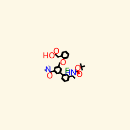 CC(NC(=O)OC(C)(C)C)c1cccc(-c2cc(COc3ccccc3CC(=O)O)cc(C(=O)N(C)C)c2)c1F